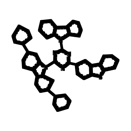 c1ccc(-c2ccc3c4ccc(-c5ccccc5)cc4n(-c4nc(-c5ccc6sc7ccccc7c6c5)nc(-n5c6ccccc6c6ccccc65)n4)c3c2)cc1